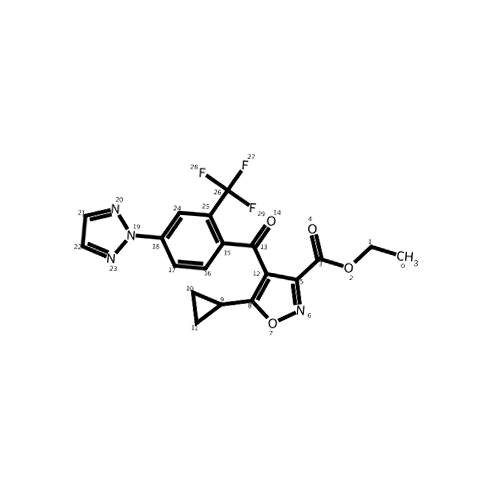 CCOC(=O)c1noc(C2CC2)c1C(=O)c1ccc(-n2nccn2)cc1C(F)(F)F